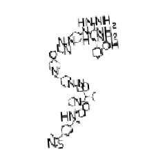 Cc1ncsc1C1C=CC([C@H](C)NC(=O)[C@@H]2CCCN2C(=O)C(c2cc(N3CCC(CN4CCC(Oc5cnc(N6CCC(NC(/C=C(\N)c7ccccc7O)=C(/N)C(=N)N)CC6)nc5)CC4)CC3)no2)C(C)C)=CC1